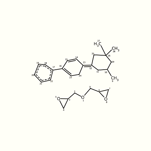 C(OCC1CO1)C1CO1.CC1CC(=C2C=CC(c3ccccc3)=CC2)CC(C)(C)C1